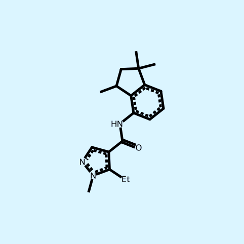 CCc1c(C(=O)Nc2cccc3c2C(C)CC3(C)C)cnn1C